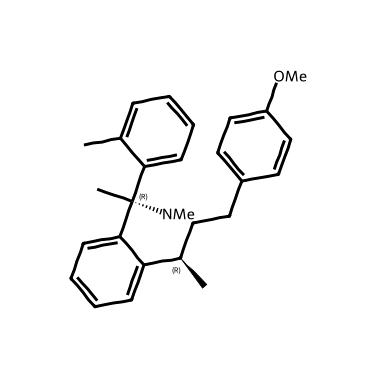 CN[C@](C)(c1ccccc1C)c1ccccc1[C@H](C)CCc1ccc(OC)cc1